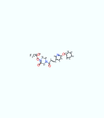 O=C(C=Cc1ccc(Oc2ccccc2)nc1)N1CCN(OC(=O)C(F)(F)F)C(=O)C1